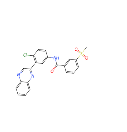 CS(=O)(=O)c1cccc(C(=O)Nc2ccc(Cl)c(-c3cnc4ccccc4n3)c2)c1